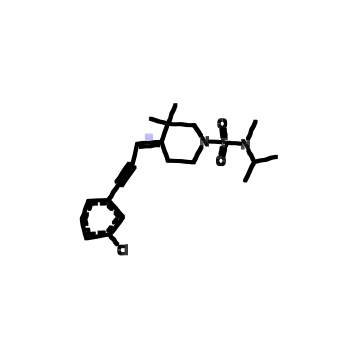 CC(C)N(C)S(=O)(=O)N1CC/C(=C\C#Cc2cccc(Cl)c2)C(C)(C)C1